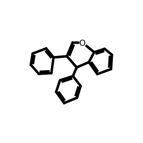 C1=C(c2ccccc2)C(c2ccccc2)c2ccccc2O1